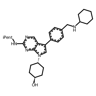 CCCC(C)Nc1ncc2c(-c3ccc(CNC4CCCCC4)cc3)cn([C@H]3CC[C@H](O)CC3)c2n1